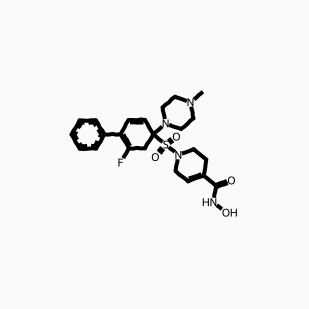 CN1CCN(C2(S(=O)(=O)N3CC=C(C(=O)NO)CC3)C=CC(c3ccccc3)=C(F)C2)CC1